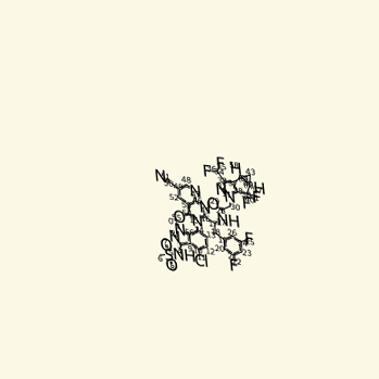 Cn1nc(NS(C)(=O)=O)c2c(Cl)ccc(-n3c(C(Cc4cc(F)cc(F)c4)NC(=O)Cn4nc(C(F)F)c5c4C(F)(F)[C@@H]4C[C@H]54)nc4ncc(C#N)cc4c3=O)c21